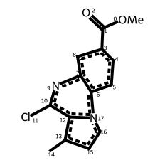 COC(=O)c1ccc2c(c1)nc(Cl)c1c(C)ccn12